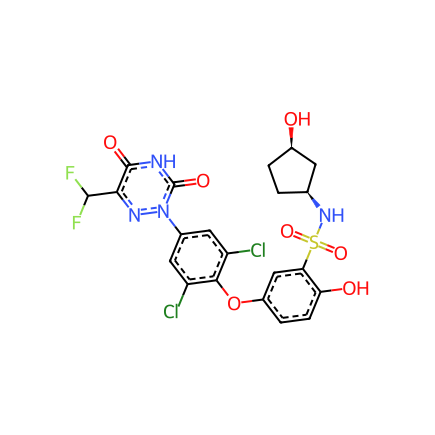 O=c1[nH]c(=O)n(-c2cc(Cl)c(Oc3ccc(O)c(S(=O)(=O)N[C@H]4CC[C@@H](O)C4)c3)c(Cl)c2)nc1C(F)F